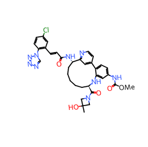 COC(=O)Nc1ccc2c(c1)N[C@@H](C(=O)N1CC(C)(O)C1)CCCCC[C@H](NC(=O)/C=C/c1cc(Cl)ccc1-n1cnnn1)c1cc-2ccn1